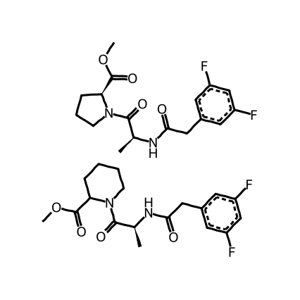 COC(=O)C1CCCCN1C(=O)[C@H](C)NC(=O)Cc1cc(F)cc(F)c1.COC(=O)[C@@H]1CCCN1C(=O)[C@H](C)NC(=O)Cc1cc(F)cc(F)c1